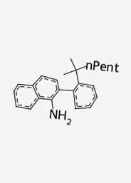 CCCCCC(C)(C)c1ccccc1-c1ccc2ccccc2c1N